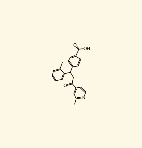 Cc1cc(C(=O)CC(c2ccc(C(=O)O)cc2)c2ccccc2C)ccn1